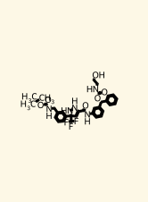 CC(C)(C)OC(=O)NCc1cccc(C2(C(F)(F)F)C=C(C(=O)Nc3cccc(C(OC(=O)NCCO)c4ccccc4)c3)NN2)c1